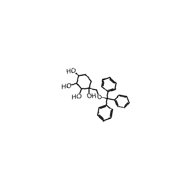 OC1CCC(O)(COC(c2ccccc2)(c2ccccc2)c2ccccc2)C(O)C1O